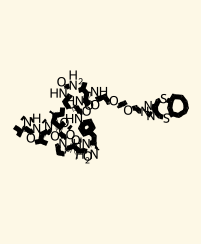 CC[C@H](C)[C@@H]([C@@H](CC(=O)N1CCC[C@H]1[C@H](OC)[C@@H](C)C(=O)N[C@H](CN)Cc1ccc(NC(=O)[C@H](CCCNC(N)=O)NC(=O)[C@@H](NC(=O)CCOCCOCCn2nc3c(n2)CSC2CCCCCCC(C2)SC3)C(C)C)cc1)OC)N(C)C(=O)[C@@H](NC(=O)[C@H](C(C)C)N(C)C)C(C)C